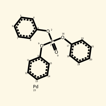 O=P(Oc1ccccc1)(Oc1ccccc1)Oc1ccccc1.[Pd]